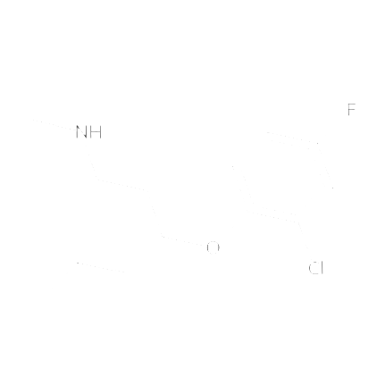 CCC[C@H](CCNC)Oc1ccc(F)cc1Cl